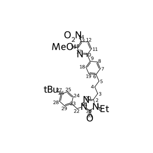 CCn1c(CCCc2ccc(-c3ccc([N+](=O)[O-])c(OC)n3)cc2)nn(Cc2ccc(C(C)(C)C)cc2)c1=O